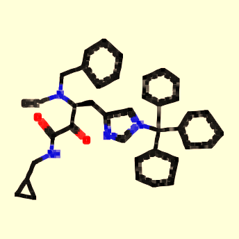 O=CN(Cc1ccccc1)[C@@H](Cc1cn(C(c2ccccc2)(c2ccccc2)c2ccccc2)cn1)C(=O)C(=O)NCC1CC1